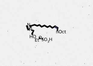 CCCCCCCC/C=C\CCCCCCCCc1nccn1CCO.CCOS(=O)(=O)O